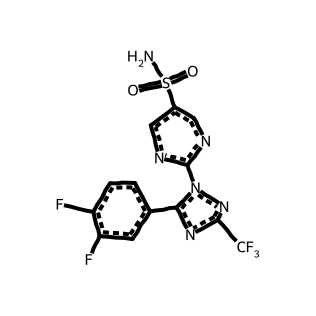 NS(=O)(=O)c1cnc(-n2nc(C(F)(F)F)nc2-c2ccc(F)c(F)c2)nc1